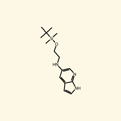 CC(C)(C)[Si](C)(C)OCCNc1cnc2[nH]ccc2c1